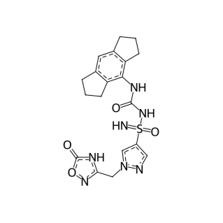 N=S(=O)(NC(=O)Nc1c2c(cc3c1CCC3)CCC2)c1cnn(Cc2noc(=O)[nH]2)c1